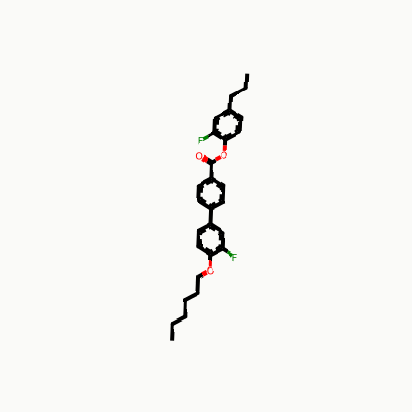 CCCCCCOc1ccc(-c2ccc(C(=O)Oc3ccc(CCC)cc3F)cc2)cc1F